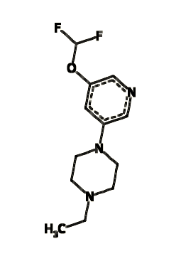 CCN1CCN(c2cncc(OC(F)F)c2)CC1